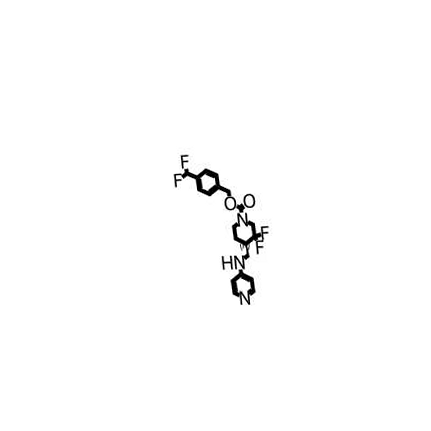 O=C(OCc1ccc(C(F)F)cc1)N1CC[C@H](CNc2ccncc2)C(F)(F)C1